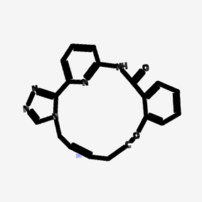 O=C1Nc2cccc(n2)-c2nncn2C/C=C\CCOc2ccccc21